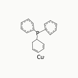 C1=CCC(P(c2ccccc2)c2ccccc2)C=C1.[Cu]